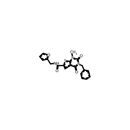 Cn1c(=O)n(Cc2ccccc2)c(=O)c2cc(C(=O)NCc3ccco3)sc21